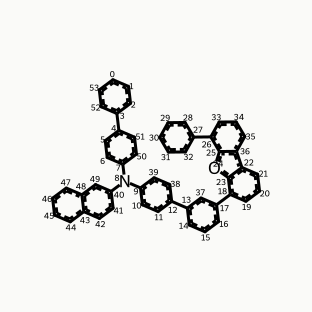 c1ccc(-c2ccc(N(c3ccc(-c4cccc(-c5cccc6c5oc5c(-c7ccccc7)cccc56)c4)cc3)c3ccc4ccccc4c3)cc2)cc1